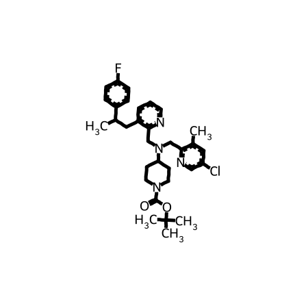 Cc1cc(Cl)cnc1CN(Cc1ncccc1CC(C)c1ccc(F)cc1)C1CCN(C(=O)OC(C)(C)C)CC1